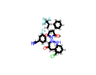 N#Cc1cc(F)cc([C@H]2C(=O)Cc3c(Cl)cccc3NN2N2C(=O)[C@H](CCC(F)(F)F)[C@H](c3ccccc3)C2=O)c1